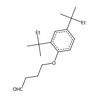 CCC(C)(C)c1ccc(OCCC[C]=O)c(C(C)(C)CC)c1